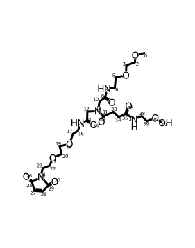 COCCOCCNC(=O)CN(CC(=O)NCCOCCOCCN1C(=O)C=CC1=O)C(=O)CCC(=O)NCCOO